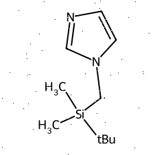 CC(C)(C)[Si](C)(C)[CH]n1ccnc1